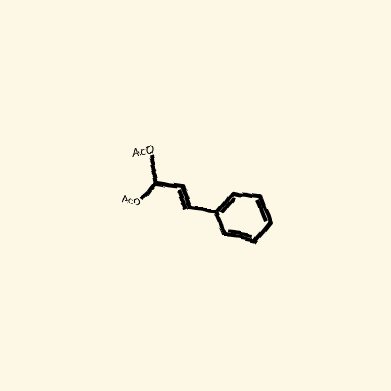 CC(=O)OC(C=Cc1ccccc1)OC(C)=O